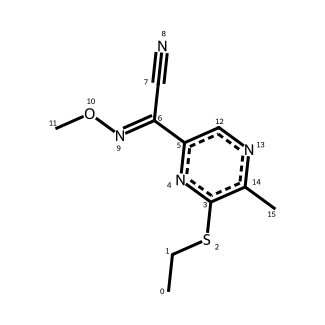 CCSc1nc(/C(C#N)=N/OC)cnc1C